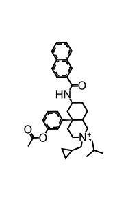 CC(=O)Oc1cccc([C@]23CC[N@+](CC(C)C)(CC4CC4)CC2CC[C@H](NC(=O)c2ccc4ccccc4c2)C3)c1